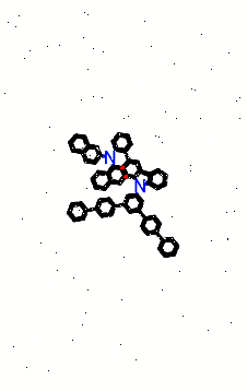 c1ccc(-c2ccc(-c3cc(-c4ccc(-c5ccccc5)cc4)cc(-n4c5ccccc5c5cc(-c6ccccc6N(c6ccc7ccccc7c6)c6cccc7ccccc67)ccc54)c3)cc2)cc1